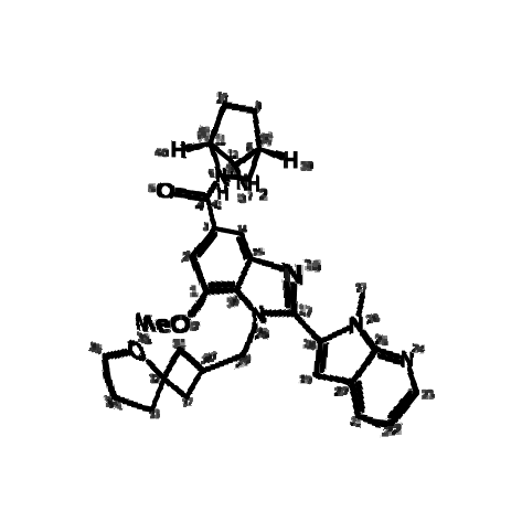 COc1cc(C(=O)N2C[C@H]3CC[C@@H]2[C@@H]3N)cc2nc(-c3cc4cccnc4n3C)n(CC3CC4(CCCO4)C3)c12